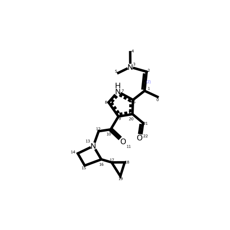 C/C(=C/N(C)C)c1[nH]cc(C(=O)CN2CCC2C2CC2)c1C=O